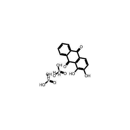 O=C1c2ccccc2C(=O)c2c1ccc(O)c2O.O=[PH](O)O.O=[PH](O)O